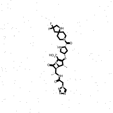 C[C@H]1C(S[C@@H]2CN[C@H](C(=O)N3CCC4(CC3)CC(F)(F)CN4)C2)=C(C(=O)O)N2C(=O)[C@H]([C@@H](C)NC(=O)Cn3cnnn3)C12